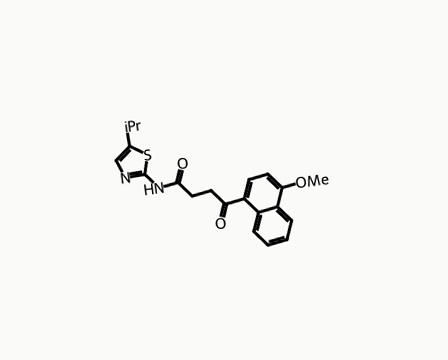 COc1ccc(C(=O)CCC(=O)Nc2ncc(C(C)C)s2)c2ccccc12